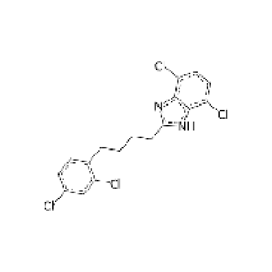 Clc1ccc(CCCCc2nc3c(Cl)ccc(Cl)c3[nH]2)c(Cl)c1